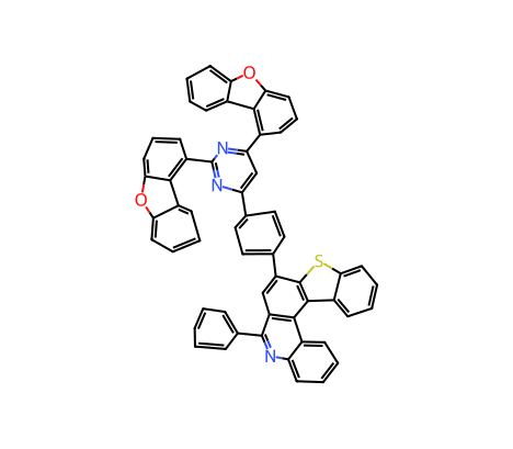 c1ccc(-c2nc3ccccc3c3c2cc(-c2ccc(-c4cc(-c5cccc6oc7ccccc7c56)nc(-c5cccc6oc7ccccc7c56)n4)cc2)c2sc4ccccc4c23)cc1